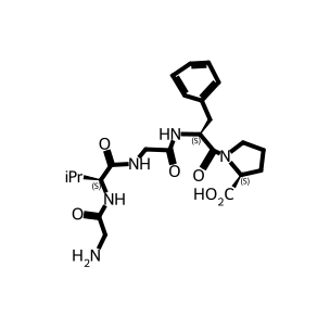 CC(C)[C@H](NC(=O)CN)C(=O)NCC(=O)N[C@@H](Cc1ccccc1)C(=O)N1CCC[C@H]1C(=O)O